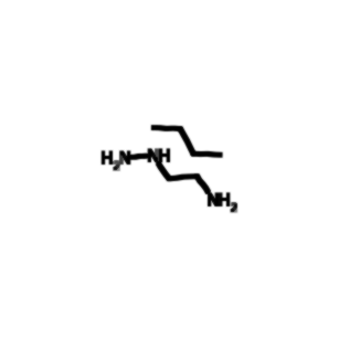 CCCC.NCCNN